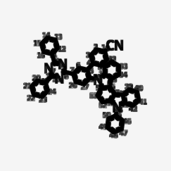 N#Cc1ccc(-c2cc(-c3nc(-c4ccccc4)nc(-c4ccccc4)n3)ccc2-n2c3ccccc3c3c4c5ccccc5n(-c5ccccc5)c4ccc32)cc1